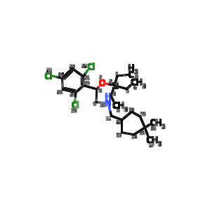 CC[Si](CC)(CC)OC(CNCC1CCC(C)(C)CC1)c1c(Cl)cc(Cl)cc1Cl